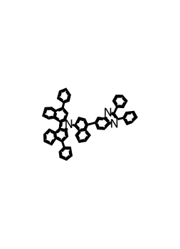 c1ccc(-c2nc3ccc(-c4ccc(-n5c6cc(-c7ccccc7)c7ccccc7c6c6c7ccccc7c(-c7ccccc7)cc65)c5ccccc45)cc3nc2-c2ccccc2)cc1